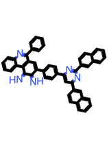 N=C1C(=N)c2c(c(-c3ccccc3)nc3ccccc23)C=C1c1ccc(-c2cc(-c3ccc4ccccc4c3)nc(-c3ccc4ccccc4c3)n2)cc1